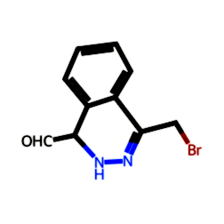 O=CC1NN=C(CBr)c2ccccc21